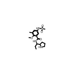 CCC(NC(=O)c1cc(NS(C)(=O)=O)cc(C)c1OC)C1CCCN1